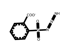 N=[N+]=NS(=O)(=O)c1ccccc1C(=O)[O-]